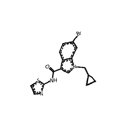 O=C(Nc1nccs1)c1cn(CC2CC2)c2cc(Br)ccc12